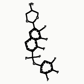 CCCC1COC(c2cc3ccc(C(F)(F)Oc4cc(F)c(F)c(F)c4)c(F)c3c(F)c2F)OC1